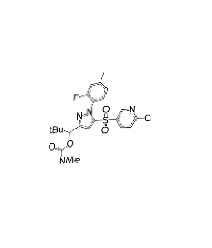 CNC(=O)OC(c1cc(S(=O)(=O)c2ccc(Cl)nc2)n(-c2ccc(C)cc2F)n1)C(C)(C)C